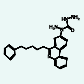 NNC(=O)N(N)c1ccc2c(c1)c(CCCCCc1ccccc1)nc1ccccc12